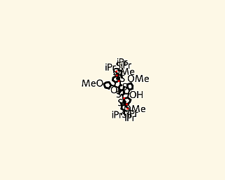 COc1ccc(C(O)(c2ccc(OC)cc2)c2c(-c3cc4sc(S(C(C)C)(C(C)C)C(C)C)cc4s3)sc3c(C(O)(c4ccc(OC)cc4)c4ccc(OC)cc4)c(-c4cc5sc(S(C(C)C)(C(C)C)C(C)C)cc5s4)sc23)cc1